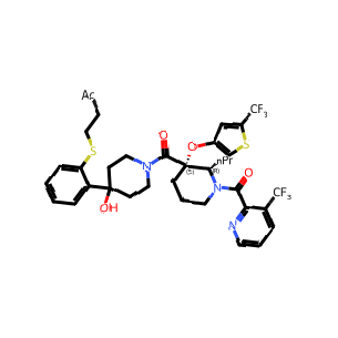 CCC[C@H]1N(C(=O)c2ncccc2C(F)(F)F)CCC[C@@]1(Oc1csc(C(F)(F)F)c1)C(=O)N1CCC(O)(c2ccccc2SCCC(C)=O)CC1